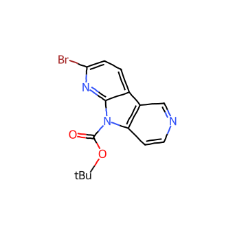 CC(C)(C)OC(=O)n1c2ccncc2c2ccc(Br)nc21